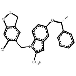 C[C@@H](Oc1ccc2c(c1)cc(C(=O)O)n2Cc1cc2c(cc1Cl)OOC2)c1ccccc1